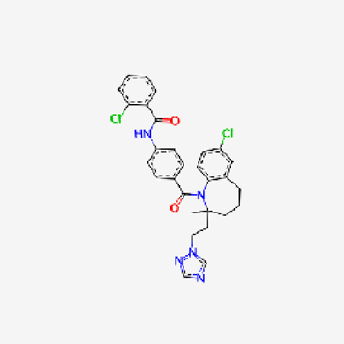 CC1(CCn2cncn2)CCCc2cc(Cl)ccc2N1C(=O)c1ccc(NC(=O)c2ccccc2Cl)cc1